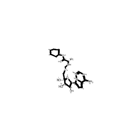 CC[C@H](NCOC[C@@]1(C#N)O[C@@H](c2ccc3c(N)ncnn23)[C@H](O)[C@@H]1O)C(=O)OC1CCCCC1